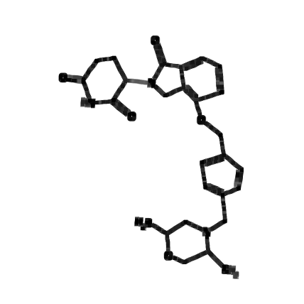 BC1CN(Cc2ccc(COc3cccc4c3CN(C3CCC(=O)NC3=O)C4=O)cc2)C(B)CO1